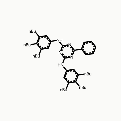 CCCCc1cc(Nc2nc(Nc3cc(CCCC)c(CCCC)c(CCCC)c3)nc(-c3cc[c]cc3)n2)cc(CCCC)c1CCCC